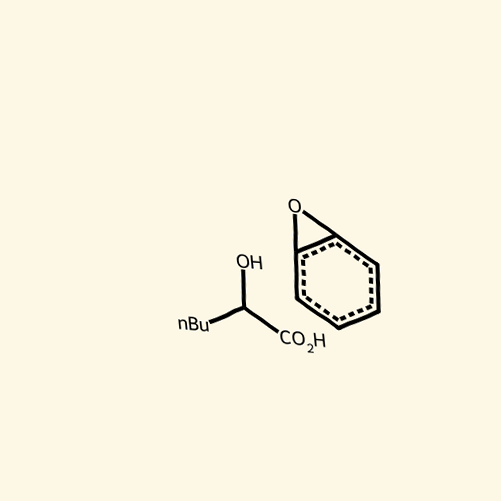 CCCCC(O)C(=O)O.c1ccc2c(c1)O2